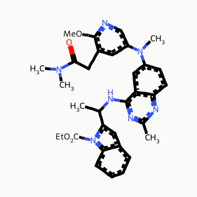 CCOC(=O)n1c(C(C)Nc2nc(C)nc3ccc(N(C)c4cnc(OC)c(CC(=O)N(C)C)c4)cc23)cc2ccccc21